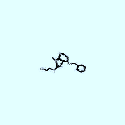 Cn1c(NCCO)nc2c(NCc3ccccc3)ncnc21